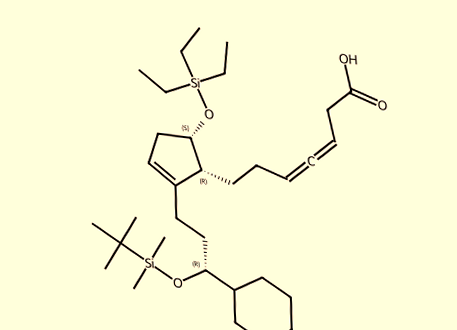 CC[Si](CC)(CC)O[C@H]1CC=C(CC[C@@H](O[Si](C)(C)C(C)(C)C)C2CCCCC2)[C@H]1CCC=C=CCC(=O)O